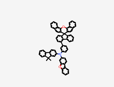 CC1(C)c2ccccc2-c2ccc(N(c3cccc(-c4cccc5c4-c4ccccc4C54c5ccc6ccccc6c5Oc5c4ccc4ccccc54)c3)c3ccc4c(c3)oc3ccccc34)cc21